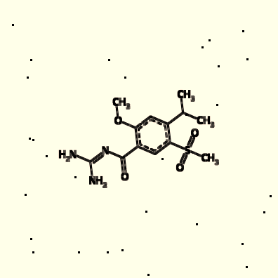 COc1cc(C(C)C)c(S(C)(=O)=O)cc1C(=O)N=C(N)N